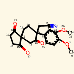 COc1ccc(C2(CC#N)CCC3(CC2=O)C(=O)CCC3=O)cc1OC